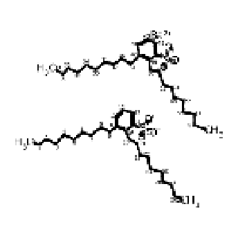 CCCCCCCCCCc1cccc(S(=O)(=O)[O-])c1CCCCCCCCCC.CCCCCCCCCCc1cccc(S(=O)(=O)[O-])c1CCCCCCCCCC.[Ba+2]